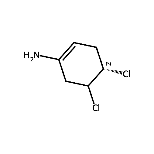 NC1=CC[C@H](Cl)C(Cl)C1